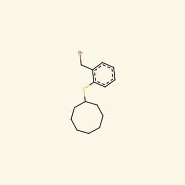 BrCc1ccccc1SC1C[CH]CCCCC1